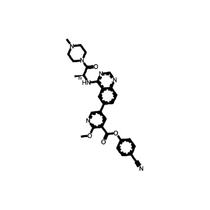 COc1ncc(-c2ccc3ncnc(N[C@@H](C)C(=O)N4CCN(C)CC4)c3c2)cc1C(=O)Oc1ccc(C#N)cc1